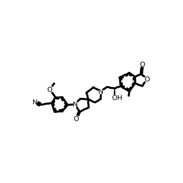 COc1cc(N2CC3(CCN(C[C@H](O)c4ccc5c(c4C)COC5=O)CC3)CC2=O)ccc1C#N